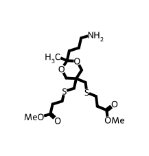 COC(=O)CCSCC1(CSCCC(=O)OC)COC(C)(CCCN)OC1